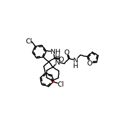 O=C(CNC1(C2(Cc3cccc(Cl)c3)C(=O)Nc3cc(Cl)ccc32)CCCCC1)NCc1ccco1